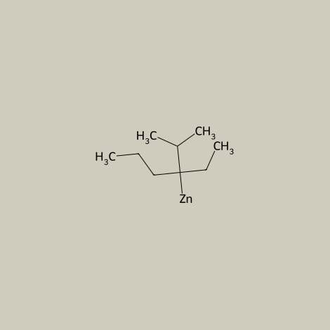 CCC[C]([Zn])(CC)C(C)C